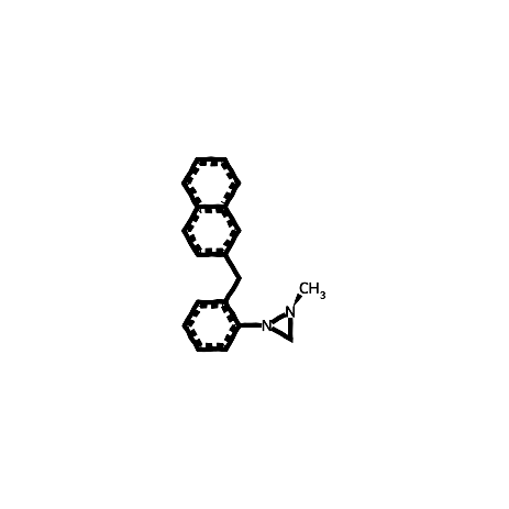 C[N@@]1CN1c1ccccc1Cc1ccc2ccccc2c1